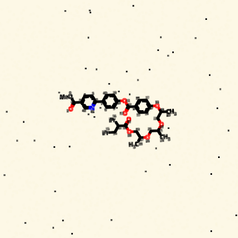 COC(=O)c1ccc(-c2ccc(OC(=O)c3ccc(OC(C)COC(C)COC(C)COC(=O)C(CC(C)C)C(C)C)cc3)cc2)nc1